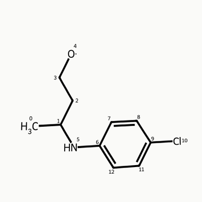 CC(CC[O])Nc1ccc(Cl)cc1